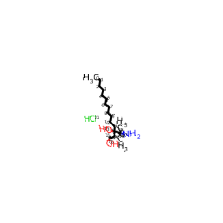 CCCCCCCCCCCCC(O)(CCO)C(C)(C)N.Cl